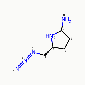 [N-]=[N+]=NC[C@@H]1CCC(N)N1